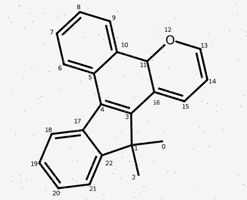 CC1(C)C2=C(c3ccccc3C3OC=CC=C23)c2ccccc21